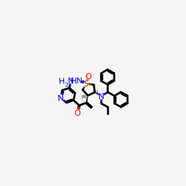 C=C(C(=O)c1cncc(N)c1)[C@H]1CS(=N)(=O)C[C@H]1N(CCC)C(c1ccccc1)c1ccccc1